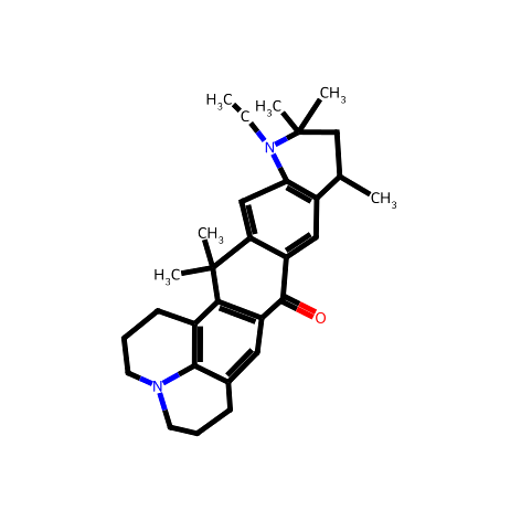 CCN1c2cc3c(cc2C(C)CC1(C)C)C(=O)c1cc2c4c(c1C3(C)C)CCCN4CCC2